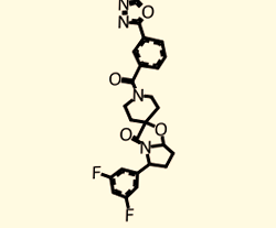 O=C(c1cccc(-c2nnco2)c1)N1CCC2(CC1)OC1CCC(c3cc(F)cc(F)c3)N1C2=O